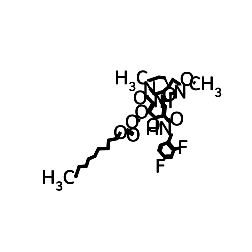 CCCCCCCCCCOC(=O)OCOc1c2n(cc(C(=O)NCc3ccc(F)cc3F)c1=O)[C@@H]1CN(C2=O)[C@@H](C)CC[C@]12CC(OC)=NO2